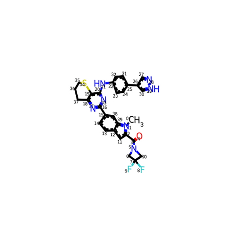 Cn1c(C(=O)N2CC(F)(F)C2)cc2ccc(-c3nc4c(c(Nc5ccc(-c6cn[nH]c6)cc5)n3)SCCC4)cc21